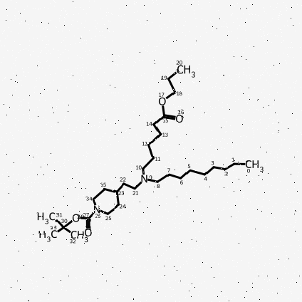 CCCCCCCCCN(CCCCCC(=O)OCCC)CCC1CCN(C(=O)OC(C)(C)C)CC1